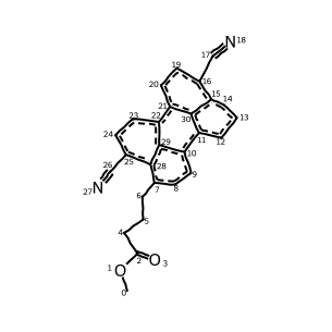 COC(=O)CCCc1ccc2c3cccc4c(C#N)ccc(c5ccc(C#N)c1c52)c43